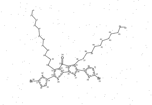 CCCCCCCCCCCCc1c(-c2ccc(Br)s2)sc2c1C(=O)c1c-2sc(-c2ccc(Br)s2)c1CCCCCCCCCCCC